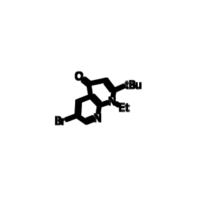 CCn1c(C(C)(C)C)cc(=O)c2cc(Br)cnc21